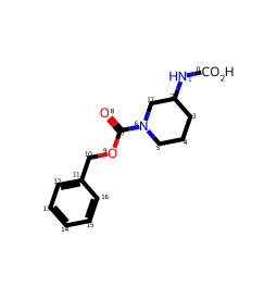 O=C(O)NC1CCCN(C(=O)OCc2ccccc2)C1